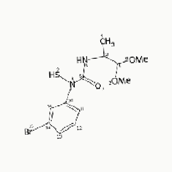 COC(OC)C(C)NC(=O)N(S)c1cccc(Br)c1